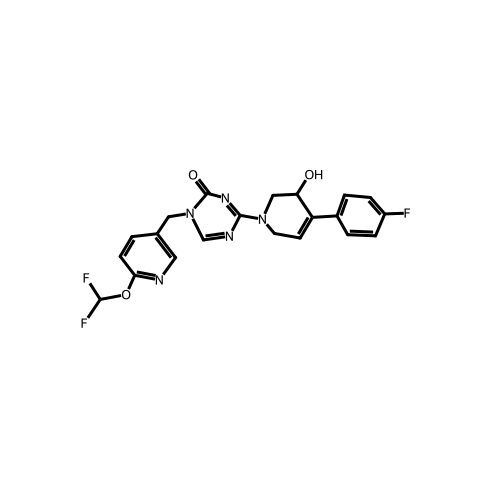 O=c1nc(N2CC=C(c3ccc(F)cc3)C(O)C2)ncn1Cc1ccc(OC(F)F)nc1